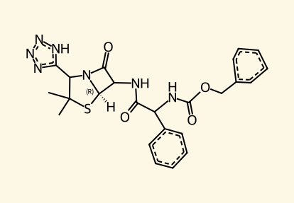 CC1(C)S[C@@H]2C(NC(=O)C(NC(=O)OCc3ccccc3)c3ccccc3)C(=O)N2C1c1nnn[nH]1